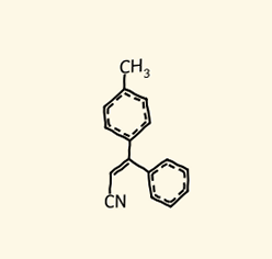 Cc1ccc(/C(=C/C#N)c2ccccc2)cc1